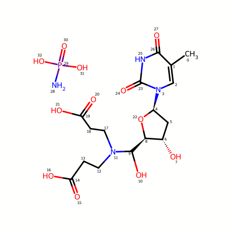 Cc1cn([C@H]2C[C@H](O)[C@@H](C(O)N(CCC(=O)O)CCC(=O)O)O2)c(=O)[nH]c1=O.NP(=O)(O)O